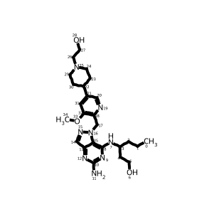 CCCC(CCO)Nc1nc(N)nc2cnn(Cc3ncc(C4CCN(CCO)CC4)cc3OC)c12